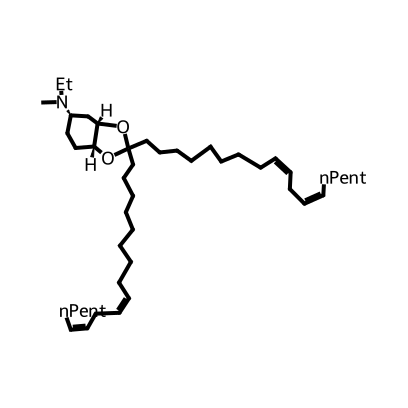 CCCCC/C=C\C/C=C\CCCCCCCCC1(CCCCCCCC/C=C\C/C=C\CCCCC)O[C@H]2C[C@@H](N(C)CC)CC[C@H]2O1